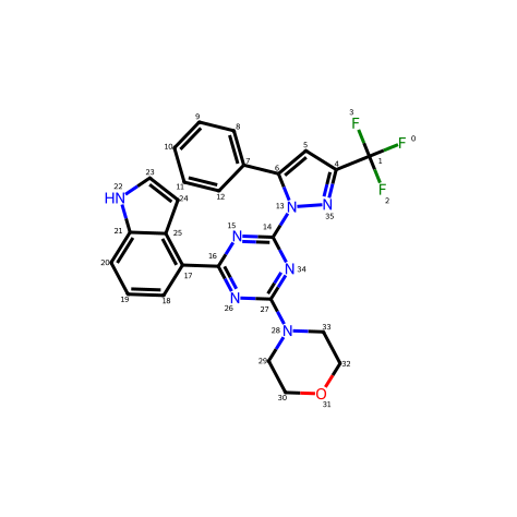 FC(F)(F)c1cc(-c2ccccc2)n(-c2nc(-c3cccc4[nH]ccc34)nc(N3CCOCC3)n2)n1